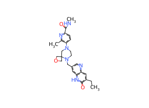 CCc1cc2ncc(CN3CCN(c4ccc(C(=O)NC)nc4C)CC34COC4)cc2[nH]c1=O